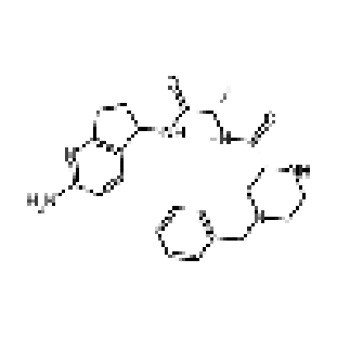 C[C@H](NC(=O)[C@H]1CN(Cc2ccccc2)CCN1)C(=O)NC1CCc2nc(N)ccc21